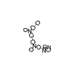 c1ccc(-c2ccc(N(c3ccccc3)c3ccc(-c4ccc(N(c5ccccc5)c5ccc(-c6nc7cccnc7o6)cc5)cc4)cc3)cc2)cc1